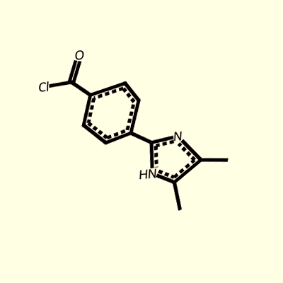 Cc1nc(-c2ccc(C(=O)Cl)cc2)[nH]c1C